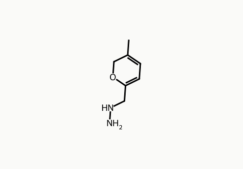 CC1=CC=C(CNN)OC1